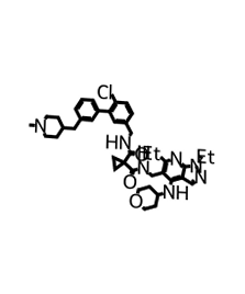 CCc1nc2c(cnn2CC)c(NC2CCOCC2)c1CNC(=O)C1(C(=O)NCc2ccc(Cl)c(-c3cccc(CC4CCN(C)CC4)c3)c2)CC1